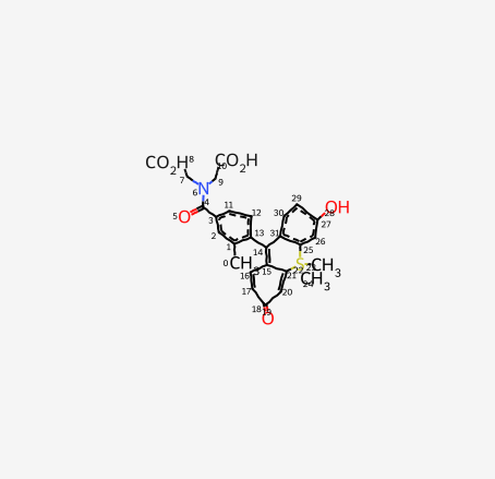 Cc1cc(C(=O)N(CC(=O)O)CC(=O)O)ccc1C1=C2C=CC(=O)C=C2S(C)(C)c2cc(O)ccc21